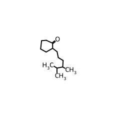 CC(C)C(C)CCCC1CCCCC1=O